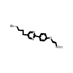 CCCCCCCC/C=C/Oc1ccc(-c2ncc(CCCC[C@@H](C)CC)cn2)cc1